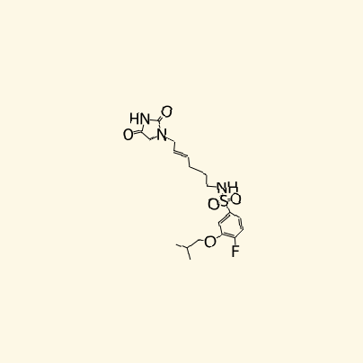 CC(C)COc1cc(S(=O)(=O)NCCCC=CCN2CC(=O)NC2=O)ccc1F